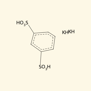 O=S(=O)(O)c1cccc(S(=O)(=O)O)c1.[KH].[KH]